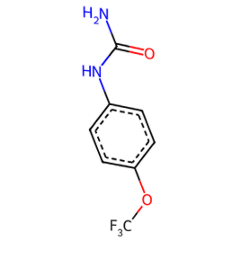 NC(=O)Nc1ccc(OC(F)(F)F)cc1